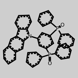 O=P(c1ccccc1)(c1ccccc1)c1cc(-n2c3ccccc3c3cc4ccccc4cc32)cc(P(=O)(c2ccccc2)c2ccccc2)c1